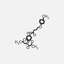 C=C(C)CN1C(=O)C(C)Oc2cc(NC(=O)CCCOc3ccc(C)cc3)ccc21